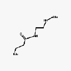 CC(C)(C)CCC(=O)NCCNC(C)(C)C